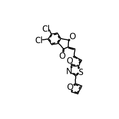 O=C1C(=Cc2cc3sc(-c4ccco4)nc3o2)C(=O)c2cc(Cl)c(Cl)cc21